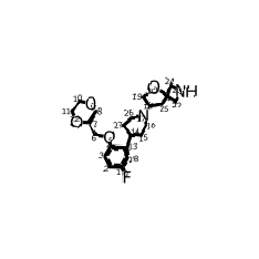 Fc1ccc(OC[C@@H]2COCCO2)c(C2CCN([C@@H]3COC4(CNC4)C3)CC2)c1